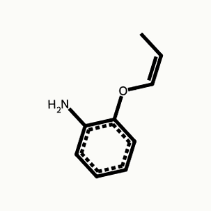 C/C=C\Oc1ccccc1N